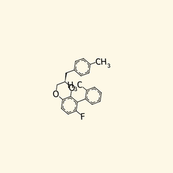 Cc1ccc(C[C@@H]2COc3ccc(F)c(-c4ccccc4C)c3O2)cc1